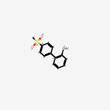 CC(=O)Oc1ccc[c]c1-c1ccc(S(C)(=O)=O)cc1